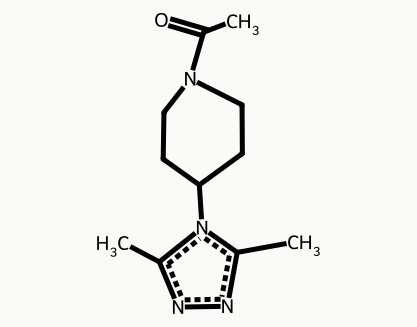 CC(=O)N1CCC(n2c(C)nnc2C)CC1